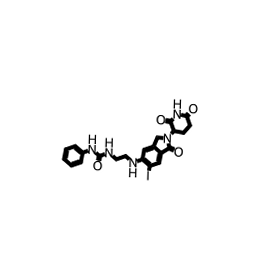 O=C1CCC(N2Cc3cc(NCCNC(=O)Nc4ccccc4)c(I)cc3C2=O)C(=O)N1